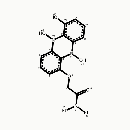 CCN(CC)C(=O)COc1cccc2c1N(O)c1cccc(O)c1N2O